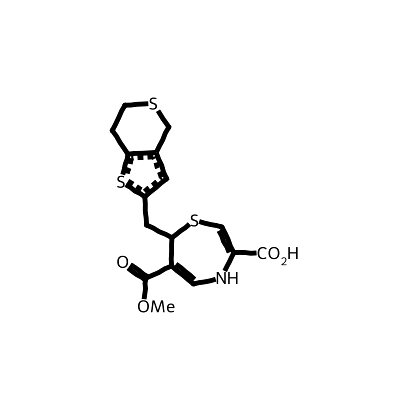 COC(=O)C1=CNC(C(=O)O)=CSC1Cc1cc2c(s1)CCSC2